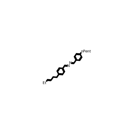 CC/C=C/CCc1ccc(C=NN=Cc2ccc(CCCCC)cc2)cc1